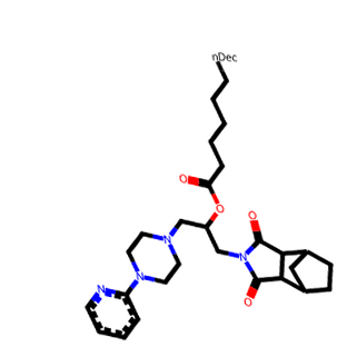 CCCCCCCCCCCCCCCC(=O)OC(CN1CCN(c2ccccn2)CC1)CN1C(=O)C2C3CCC(C3)C2C1=O